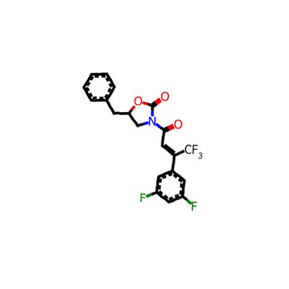 O=C(C=C(c1cc(F)cc(F)c1)C(F)(F)F)N1CC(Cc2ccccc2)OC1=O